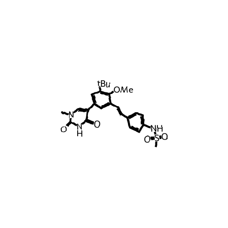 COc1c(/C=C/c2ccc(NS(C)(=O)=O)cc2)cc(-c2cn(C)c(=O)[nH]c2=O)cc1C(C)(C)C